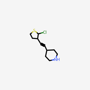 ClC1SCCC1C#CC1CCNCC1